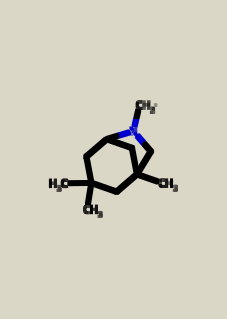 [CH2]N1CC2(C)CC1CC(C)(C)C2